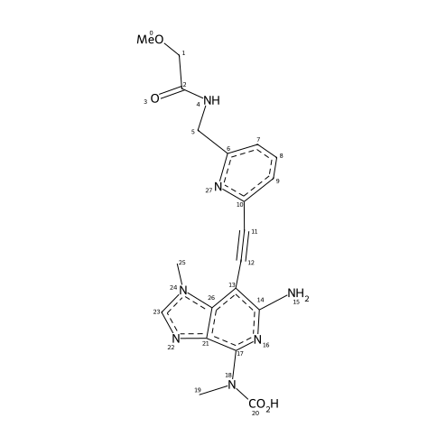 COCC(=O)NCc1cccc(C#Cc2c(N)nc(N(C)C(=O)O)c3ncn(C)c23)n1